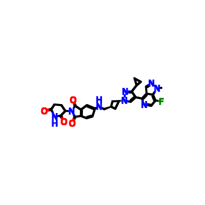 Cn1ncc2c(-c3cn([C@H]4C[C@H](CNc5ccc6c(c5)C(=O)N(C5CCC(=O)NC5=O)C6=O)C4)nc3C3CC3)ncc(F)c21